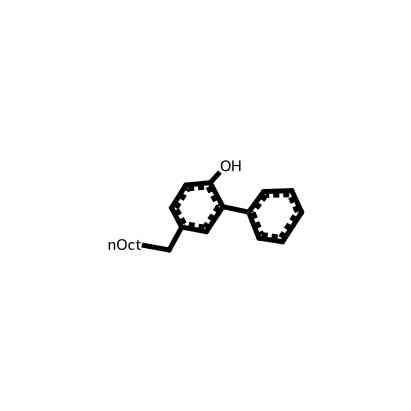 CCCCCCCCCc1ccc(O)c(-c2ccccc2)c1